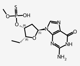 CC[C@H]1O[C@H](n2cnc3c(=O)[nH]c(N)nc32)C[C@H]1OP(O)(=S)OC